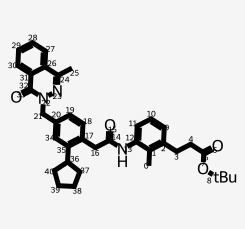 Cc1c(CCC(=O)OC(C)(C)C)cccc1NC(=O)Cc1ccc(Cn2nc(C)c3ccccc3c2=O)cc1C1CCCC1